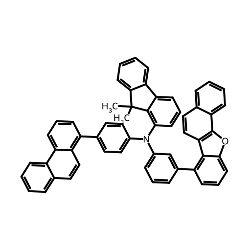 CC1(C)c2ccccc2-c2cccc(N(c3ccc(-c4cccc5c4ccc4ccccc45)cc3)c3cccc(-c4cccc5oc6c7ccccc7ccc6c45)c3)c21